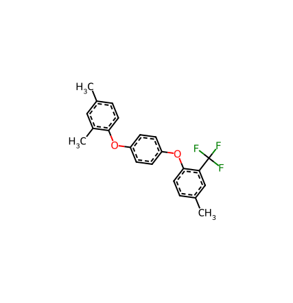 Cc1ccc(Oc2ccc(Oc3ccc(C)cc3C(F)(F)F)cc2)c(C)c1